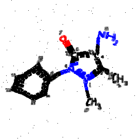 Cn1c([13CH3])[13c](N)[13c](=O)n1-c1ccccc1